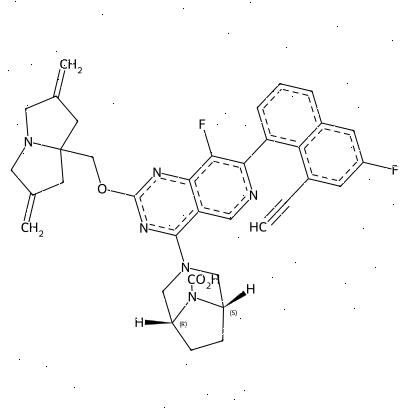 C#Cc1cc(F)cc2cccc(-c3ncc4c(N5C[C@H]6CC[C@@H](C5)N6C(=O)O)nc(OCC56CC(=C)CN5CC(=C)C6)nc4c3F)c12